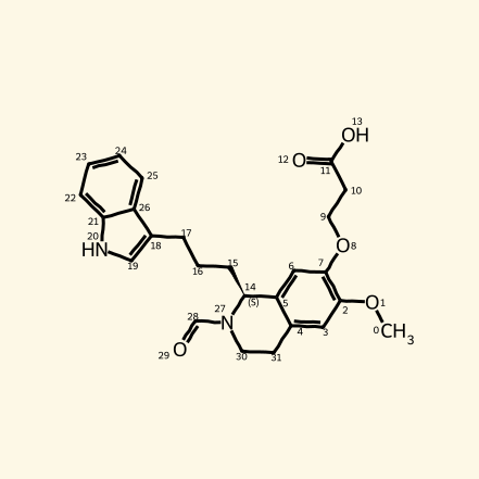 COc1cc2c(cc1OCCC(=O)O)[C@H](CCCc1c[nH]c3ccccc13)N(C=O)CC2